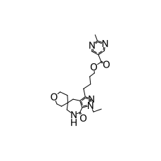 CCn1nc(CCCCOC(=O)c2cnc(C)nc2)c2c1C(=O)NCC1(CCOCC1)C2